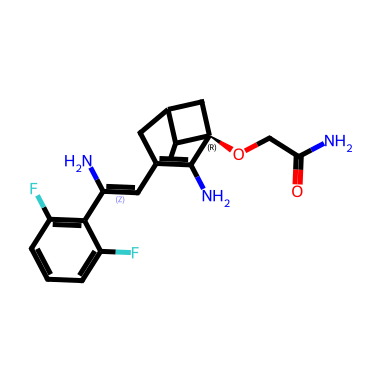 CC1C2CC(/C=C(\N)c3c(F)cccc3F)=C(N)[C@@]1(OCC(N)=O)C2